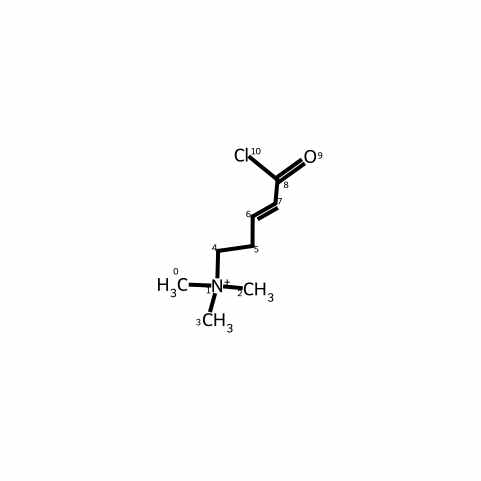 C[N+](C)(C)CCC=CC(=O)Cl